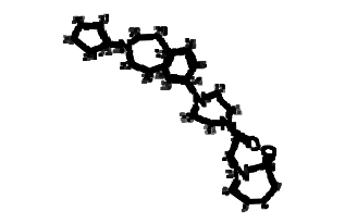 O=C(CN1CCCCC1=O)N1CCN(c2ccc3c(c2)CCN(C2CCCC2)CC3)CC1